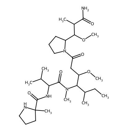 CCC(C)C(C(CC(=O)N1CCCC1C(OC)C(C)C(N)=O)OC)N(C)C(=O)C(NC(=O)C1(C)CCCN1)C(C)C